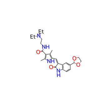 CCN(CC)CCNC(=O)c1c(C)[nH]c(/C=C2\C(=O)Nc3ccc(C4OCCO4)cc32)c1C